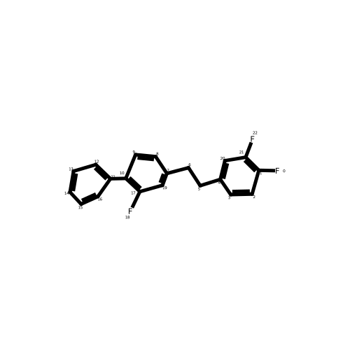 Fc1ccc(CCc2ccc(-c3ccccc3)c(F)c2)cc1F